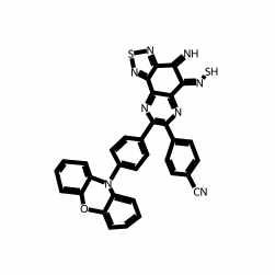 N#Cc1ccc(-c2nc3c(nc2-c2ccc(N4c5ccccc5Oc5ccccc54)cc2)-c2nsnc2C(=N)/C3=N\S)cc1